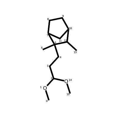 COC(CCC1(C)C2CCC(C2)C1C)OC